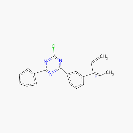 C=C/C(=C\C)c1cccc(-c2nc(Cl)nc(-c3ccccc3)n2)c1